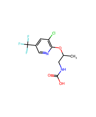 CC(CNC(=O)O)Oc1ncc(C(F)(F)F)cc1Cl